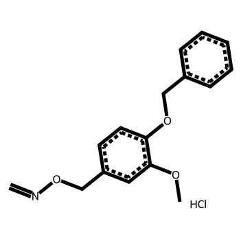 C=NOCc1ccc(OCc2ccccc2)c(OC)c1.Cl